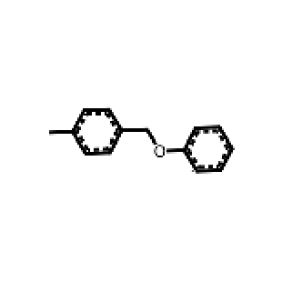 Cc1ccc(COc2[c]cccc2)cc1